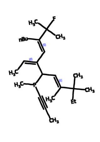 CC#CP(C)C(/C=C(\C)C(C)(C)CC)C(=C\C)/C=C(\CCCC)C(C)(C)F